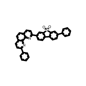 O=S1(=O)c2cc(-c3ccccc3)ccc2-c2ccc(-c3ccc4ccc5ccc(-c6ccccc6)nc5c4n3)cc21